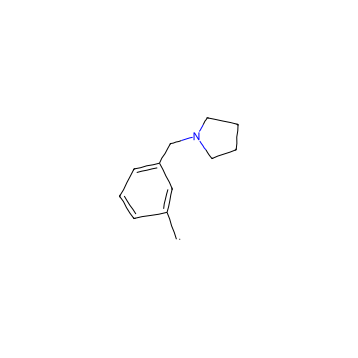 [CH2]c1cccc(CN2CCCC2)c1